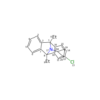 CCC12c3ccccc3C(CC)(c3cc(Cl)ccc31)N2C1CC1